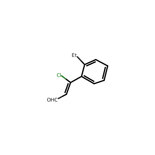 CCc1ccccc1C(Cl)=CC=O